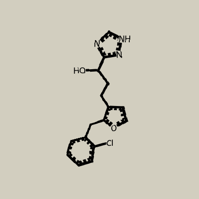 OC(CCc1ccoc1Cc1ccccc1Cl)c1nc[nH]n1